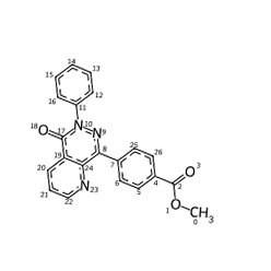 COC(=O)c1ccc(-c2nn(-c3ccccc3)c(=O)c3cccnc23)cc1